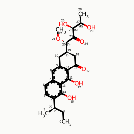 CC[C@@H](C)c1ccc2cc3c(c(O)c2c1O)C(=O)C[C@H]([C@H](OC)C(=O)[C@@H](O)[C@@H](C)O)C3